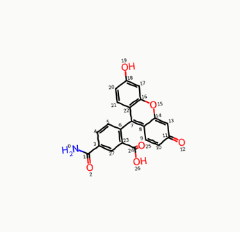 NC(=O)c1ccc(-c2c3ccc(=O)cc-3oc3cc(O)ccc23)c(C(=O)O)c1